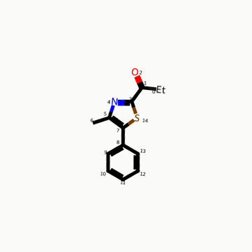 CCC(=O)c1nc(C)c(-c2ccccc2)s1